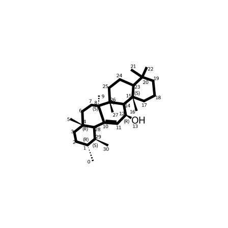 C[C@@H]1CC[C@]2(C)CC[C@]3(C)C(=C[C@H](O)C4[C@@]5(C)CCCC(C)(C)C5CC[C@]43C)C2[C@H]1C